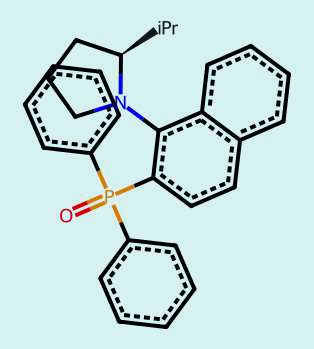 CC(C)[C@@H]1CCCN1c1c(P(=O)(c2ccccc2)c2ccccc2)ccc2ccccc12